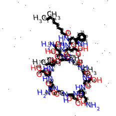 CCC(C)CCCCCCC(=O)NC(Cc1c[nH]c2ccccc12)C(=O)NC(CCC(=O)O)C(=O)NC(C(=O)NC1C(=O)N(C)CC(=O)NC(C)C(=O)NC(CC(=O)O)C(=O)NC(CCCCN)C(=O)NC(CC(=O)O)C(=O)NCC(=O)NC(CC(N)=O)C(=O)NC(CCC(=O)O)C(=O)NC(C(C)CC)C(=O)OC1C)C(O)C(N)=O